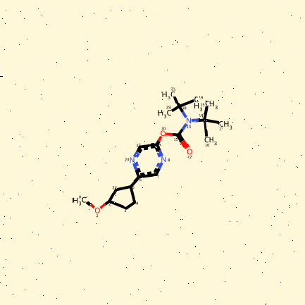 COC1CCC(c2cnc(OC(=O)N(C(C)(C)C)C(C)(C)C)cn2)C1